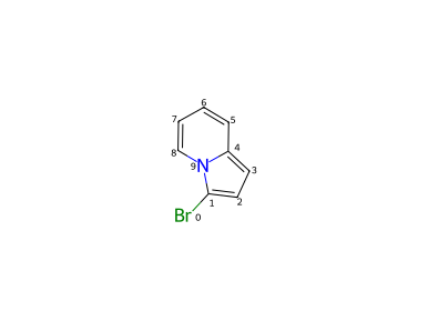 Brc1ccc2ccccn12